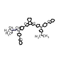 C=C/C(=C\C=C(/C)N(c1ccc(-c2cc3ccccc3o2)cc1)c1ccc(-c2cc3c4cc(-c5ccc(N(c6ccc(-c7cc8ccccc8o7)cc6)c6ccc(C(C)C)cc6)cc5)oc4c4ccccc4c3o2)cc1)C(C)C